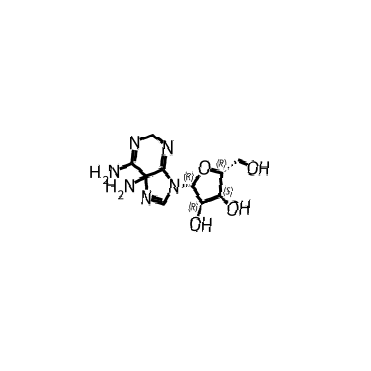 NC1=NCN=C2N([C@@H]3O[C@H](CO)[C@@H](O)[C@H]3O)C=NC12N